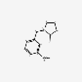 CC(=O)Nc1cccc(CN2CCCC2C)c1